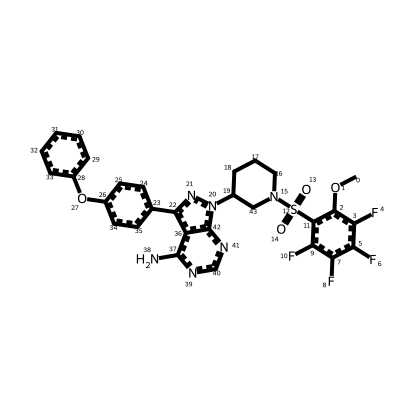 COc1c(F)c(F)c(F)c(F)c1S(=O)(=O)N1CCCC(n2nc(-c3ccc(Oc4ccccc4)cc3)c3c(N)ncnc32)C1